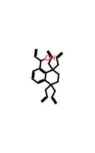 C=CCC1(CC=C)CCC(CC=C)(CC=C)c2c(C(O)C=C)cccc21